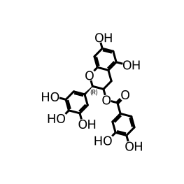 O=C(OC1Cc2c(O)cc(O)cc2O[C@@H]1c1cc(O)c(O)c(O)c1)c1ccc(O)c(O)c1